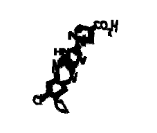 O=C(O)c1cnn(-c2nc3nc4cc(Cl)c(Cl)cc4nc3[nH]2)c1